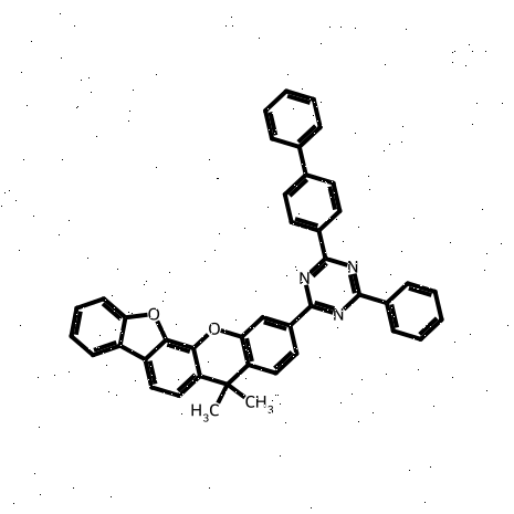 CC1(C)c2ccc(-c3nc(-c4ccccc4)nc(-c4ccc(-c5ccccc5)cc4)n3)cc2Oc2c1ccc1c2oc2ccccc21